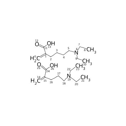 C=C(CCCCN(CC)CC)C(=O)O.C=C(CCCN(CC)CC)C(=O)O